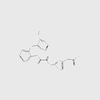 COc1ccccc1Oc1ccccc1NC(=O)C(=O)Nc1nc(CC(=O)O)cs1